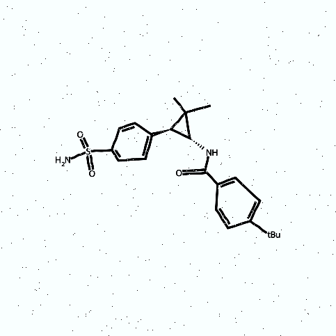 CC(C)(C)c1ccc(C(=O)N[C@@H]2[C@@H](c3ccc(S(N)(=O)=O)cc3)C2(C)C)cc1